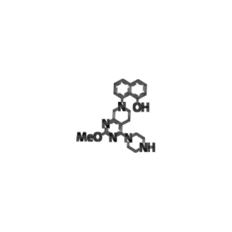 COc1nc2c(c(N3CCNCC3)n1)CCN(c1cccc3cccc(O)c13)C2